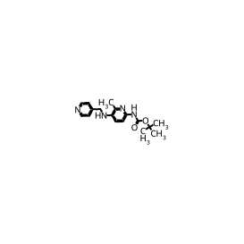 Cc1nc(NC(=O)OC(C)(C)C)ccc1NCc1ccncc1